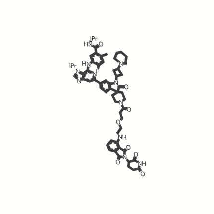 Cc1cc(F)c(Nc2nc(-c3ccc4c(c3)N(C3CC(N5CCCCC5)C3)C(=O)C43CCN(C(=O)CCOCCNc4cccc5c4C(=O)N(C4CCC(=O)NC4=O)C5=O)CC3)cc3ncn(C(C)C)c23)cc1C(=O)NC(C)C